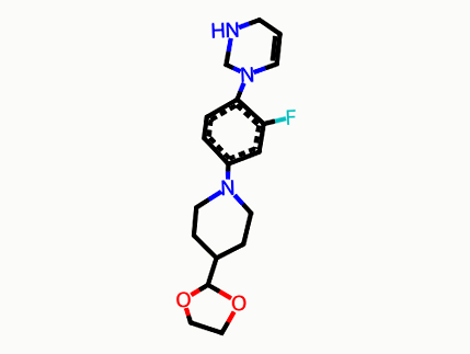 Fc1cc(N2CCC(C3OCCO3)CC2)ccc1N1C=CCNC1